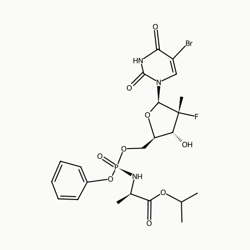 CC(C)OC(=O)[C@@H](C)N[P@@](=O)(OC[C@H]1O[C@@H](n2cc(Br)c(=O)[nH]c2=O)[C@](C)(F)[C@@H]1O)Oc1ccccc1